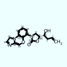 C=CCC(O)[C@H]1CN(c2cccc3c2OC=C2N=CCN23)C(=O)O1